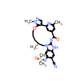 Cc1cc2cc(n1)-c1cnn(C)c1OCCC[C@@H](C)CN1/C(=N/C2=O)Nc2cc(C#N)c(N=S(C)(C)=O)cc21